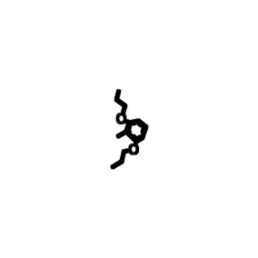 CCCOc1cccc(OCCC)c1C